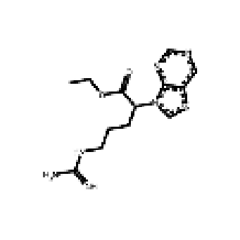 CCOC(=O)C(CCCNC(=N)N)n1cnc2cncnc21